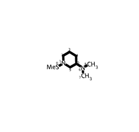 CSN1CCCC(N(C)C)C1